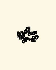 COc1nn(CCCON(C)C(=O)OC(C)(C)C)cc1Nc1nc(N2C[C@@H](F)[C@H](NC(=O)OCC[Si](C)(C)C)C2)nc2c1ncn2C